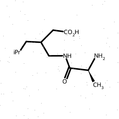 CC(C)CC(CNC(=O)[C@H](C)N)CC(=O)O